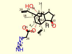 C=C[C@@]12[C@H](C)CC[C@]3(CCC(=O)[C@H]31)[C@@H](C)[C@H](O)[C@](C)(C=C)C[C@H]2OC(=O)CN=[N+]=N